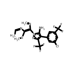 C=N/C(=C(\N=C/C)SC)n1nc(C(F)(F)F)c(-c2cc(Cl)cc(C(F)(F)F)c2)c1N